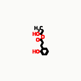 CCC(O)OC(=O)CCc1ccccc1O